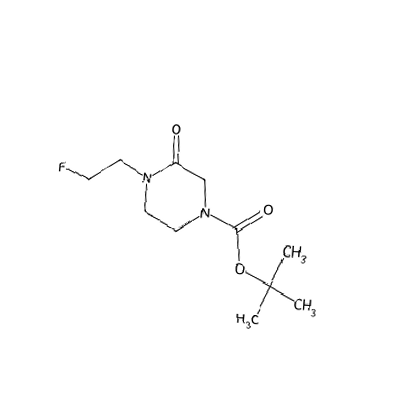 CC(C)(C)OC(=O)N1CCN(CCF)C(=O)C1